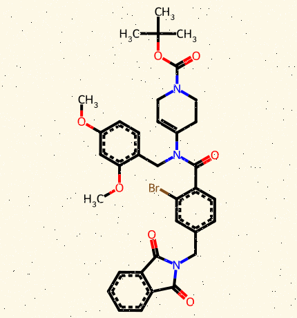 COc1ccc(CN(C(=O)c2ccc(CN3C(=O)c4ccccc4C3=O)cc2Br)C2=CCN(C(=O)OC(C)(C)C)CC2)c(OC)c1